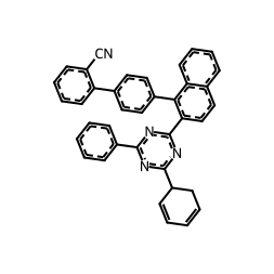 N#Cc1ccccc1-c1ccc(-c2c(-c3nc(-c4ccccc4)nc(C4C=CC=CC4)n3)ccc3ccccc23)cc1